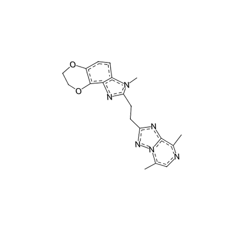 Cc1ncc(C)n2nc(CCc3nc4c5c(ccc4n3C)OCCO5)nc12